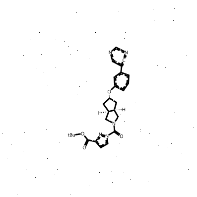 CC(C)(C)OC(=O)c1ccn(C(=O)N2C[C@H]3C[C@H](Oc4cccc(-c5cncnc5)c4)C[C@H]3C2)n1